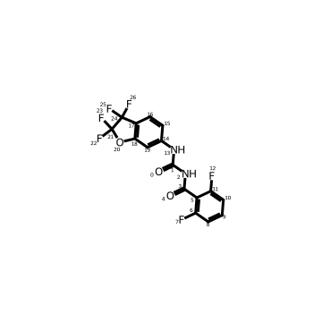 O=C(NC(=O)c1c(F)cccc1F)Nc1ccc2c(c1)OC(F)(F)C2(F)F